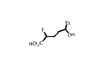 CCC(O)CCC(F)C(=O)O